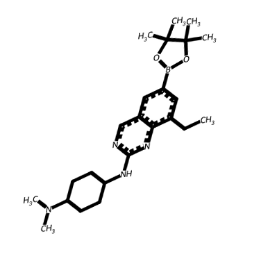 CCc1cc(B2OC(C)(C)C(C)(C)O2)cc2cnc(NC3CCC(N(C)C)CC3)nc12